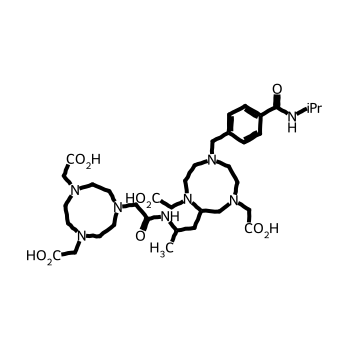 CC(C)NC(=O)c1ccc(CN2CCN(CC(=O)O)CC(CC(C)NC(=O)CN3CCN(CC(=O)O)CCN(CC(=O)O)CC3)N(CC(=O)O)CC2)cc1